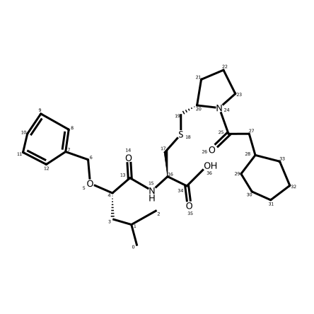 CC(C)C[C@H](OCc1ccccc1)C(=O)N[C@@H](CSC[C@@H]1CCCN1C(=O)CC1CCCCC1)C(=O)O